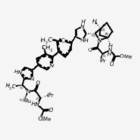 CC[C@H](C)N(C(=O)[C@@H](NC(=O)OC)C(C)C)[C@@H](C)c1nc(-c2cnc(-c3ccc(C4=CNC([C@@H]5[C@H]6CC[C@H](C6)N5C(=O)[C@@H](NC(=O)OC)C(C)C)N4)cc3C)c(C)c2)c[nH]1